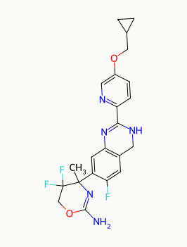 CC1(c2cc3c(cc2F)CNC(c2ccc(OCC4CC4)cn2)=N3)N=C(N)OCC1(F)F